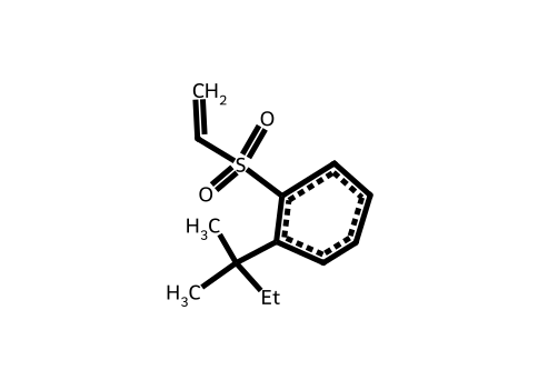 C=CS(=O)(=O)c1ccccc1C(C)(C)CC